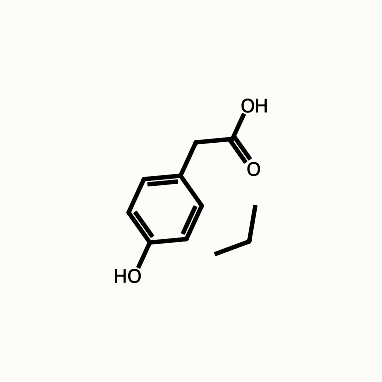 CCC.O=C(O)Cc1ccc(O)cc1